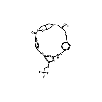 C=C1COc2ccc(cc2)CNc2nc(nc(OCC(F)(F)F)n2)Nc2ccc(cc2)C(=O)N2CC3CN(C1)CC3C2